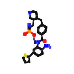 CO[PH](=O)NCc1cnccc1Cc1ccc(C(=O)Nc2cc(-c3cccs3)ccc2N)cc1